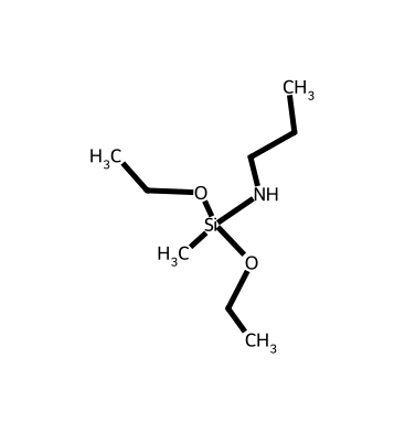 CCCN[Si](C)(OCC)OCC